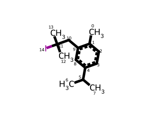 Cc1ccc(C(C)C)cc1CC(C)(C)I